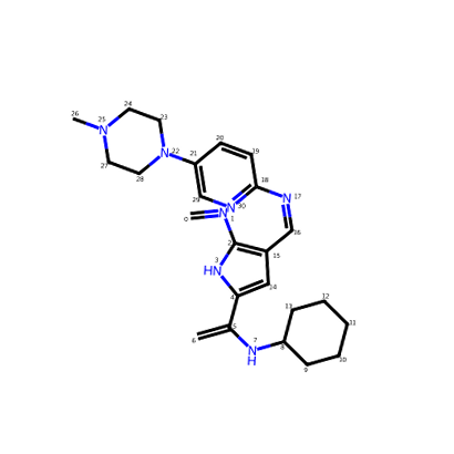 C=Nc1[nH]c(C(=C)NC2CCCCC2)cc1/C=N\c1ccc(N2CCN(C)CC2)cn1